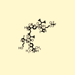 Cc1n[nH]c(C)c1-c1ccc(NC(=O)[C@@H](NC(=O)c2c(F)cnn2CCCO)C(C2CC2)C2CC2Cc2n[nH]c(C)c2-c2ccc(NC(=O)[C@@H](NC(=O)c3c(F)cnn3CCCOC(=O)C(F)(F)F)C(C3CC3)C3CC3)nc2F)nc1F